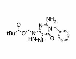 CC(C)(C)C(=O)OCN1NNc2c1nc(N)n(Cc1ccccc1)c2=O